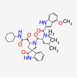 COc1cccc2[nH]c(C(=O)N(C)[C@@H](CC(C)C)C(=O)N3C[C@]4(C[C@H]3C(=O)C(=O)NC3CCCCC3)C(=O)Nc3ccccc34)cc12